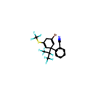 N#Cc1ccccc1C1(C(F)(C(F)(F)F)C(F)(F)F)C=C(Br)[CH]C(SC(F)(F)F)=C1